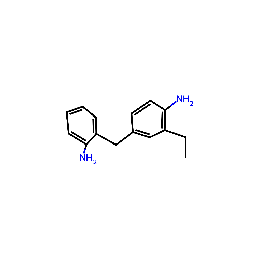 CCc1cc(Cc2ccccc2N)ccc1N